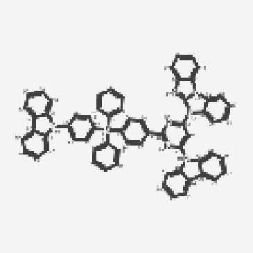 c1ccc([Si](c2ccccc2)(c2ccc(-c3nc(-n4c5ccccc5c5ccccc54)cc(-n4c5ccccc5n5c6ccccc6nc45)n3)cc2)c2ccc(-n3c4ccccc4c4ccccc43)cc2)cc1